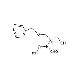 CC(C)(C)ON(C=O)[C@@H](CO)COCc1ccccc1